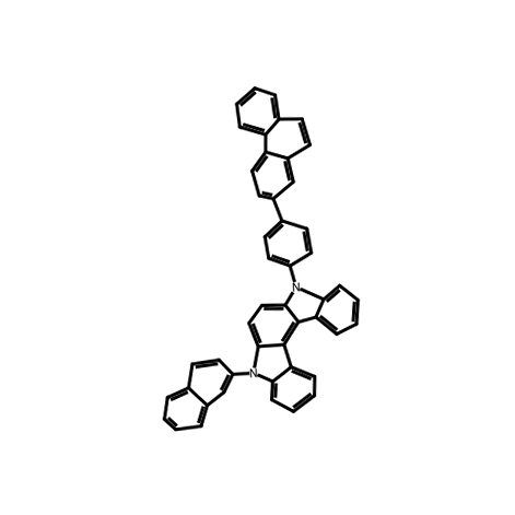 c1ccc2cc(-n3c4ccccc4c4c5c6ccccc6n(-c6ccc(-c7ccc8c(ccc9ccccc98)c7)cc6)c5ccc43)ccc2c1